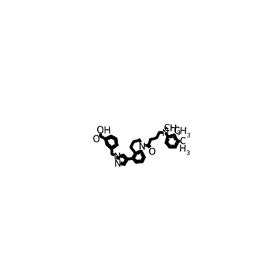 Cc1cccc(N(C)CCCC(=O)N2CCCc3c(-c4cnn(Cc5cccc(C(=O)O)c5)c4)cccc32)c1C